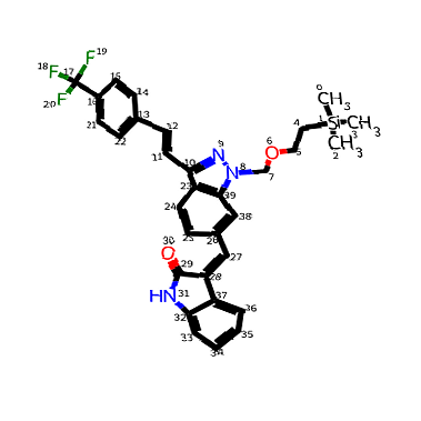 C[Si](C)(C)CCOCn1nc(C=Cc2ccc(C(F)(F)F)cc2)c2ccc(C=C3C(=O)Nc4ccccc43)cc21